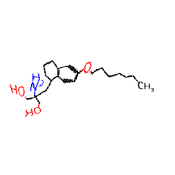 CCCCCCCOc1ccc2c(c1)CCCC2CC(N)(CO)CO